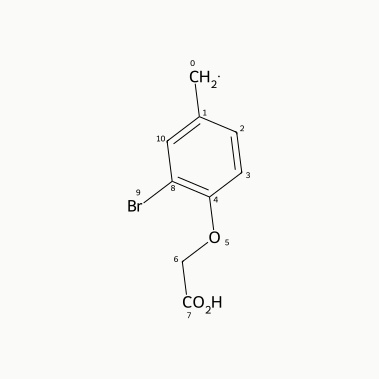 [CH2]c1ccc(OCC(=O)O)c(Br)c1